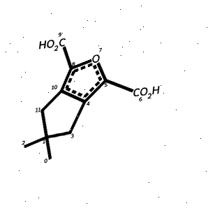 CC1(C)Cc2c(C(=O)O)oc(C(=O)O)c2C1